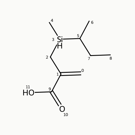 C=C(C[SiH](C)C(C)CC)C(=O)O